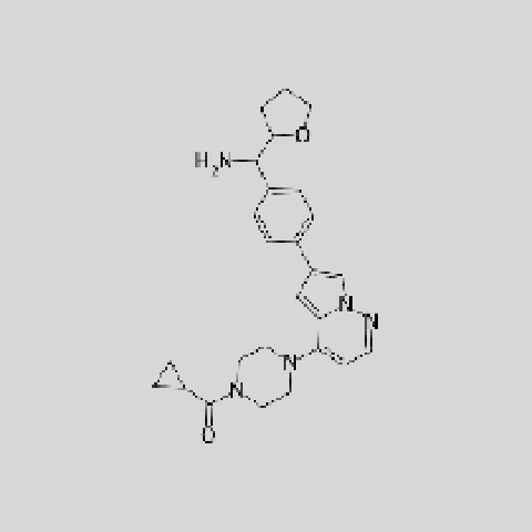 NC(c1ccc(-c2cc3c(N4CCN(C(=O)C5CC5)CC4)ccnn3c2)cc1)C1CCCO1